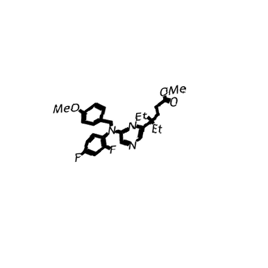 CCC(CC)(CCC(=O)OC)c1cncc(N(Cc2ccc(OC)cc2)c2ccc(F)cc2F)n1